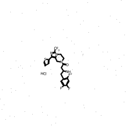 Cl.NC(CC(=O)N1CCn2c(C(F)(F)F)nc(-c3cccs3)c2C1)Cc1cc(F)c(F)cc1F